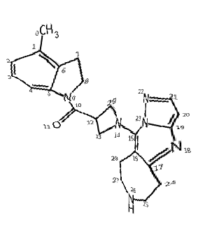 Cc1cccc2c1CCN2C(=O)C1CN(c2c3c(nc4ccnn24)CCNCC3)C1